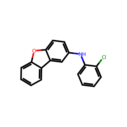 Clc1ccccc1Nc1ccc2oc3ccccc3c2c1